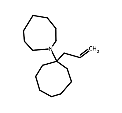 C=CCC1(N2CCCCCCC2)CCCCCCC1